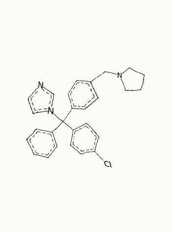 Clc1ccc(C(c2ccccc2)(c2ccc(CN3CCCC3)cc2)n2ccnc2)cc1